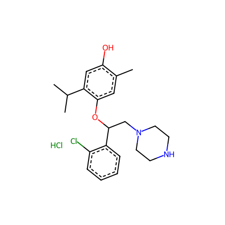 Cc1cc(OC(CN2CCNCC2)c2ccccc2Cl)c(C(C)C)cc1O.Cl